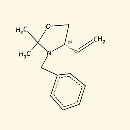 C=C[C@H]1COC(C)(C)N1Cc1ccccc1